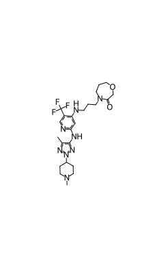 Cc1nn(C2CCN(C)CC2)nc1Nc1cc(NCCCN2CCCOCC2=O)c(C(F)(F)F)cn1